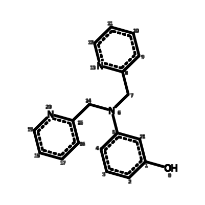 Oc1cccc(N(Cc2ccccn2)Cc2ccccn2)c1